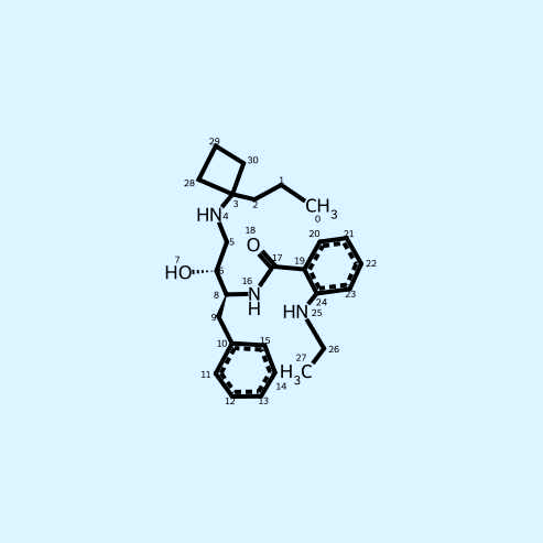 CCCC1(NC[C@@H](O)[C@H](Cc2ccccc2)NC(=O)c2ccccc2NCC)CCC1